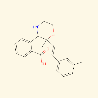 Cc1cccc(C=CC2(C)OCCNC2c2ccccc2C(=O)O)c1